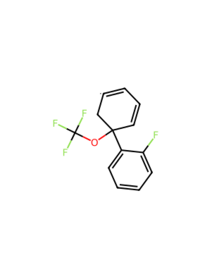 Fc1ccccc1C1(OC(F)(F)F)C=CC=[C]C1